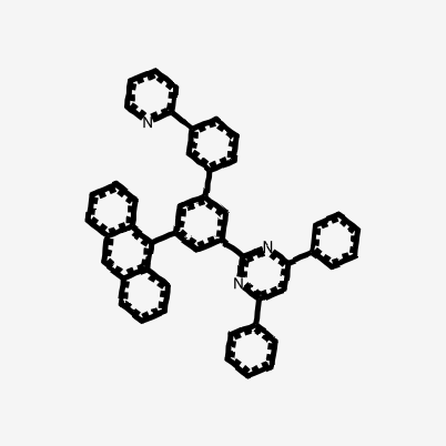 c1ccc(-c2cc(-c3ccccc3)nc(-c3cc(-c4cccc(-c5ccccn5)c4)cc(-c4c5ccccc5cc5ccccc45)c3)n2)cc1